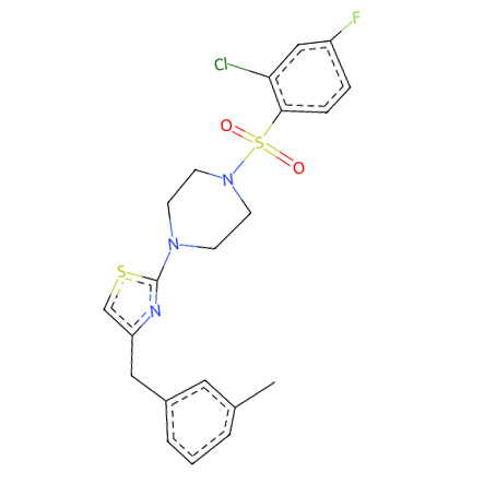 Cc1cccc(Cc2csc(N3CCN(S(=O)(=O)c4ccc(F)cc4Cl)CC3)n2)c1